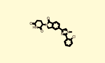 Cn1cc(-c2ccc3c(c2)CN(C2CCC(=O)NC2=O)C3=O)nc1-c1ccccc1Cl